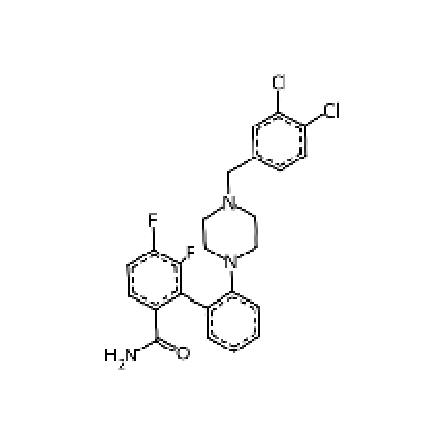 NC(=O)c1ccc(F)c(F)c1-c1ccccc1N1CCN(Cc2ccc(Cl)c(Cl)c2)CC1